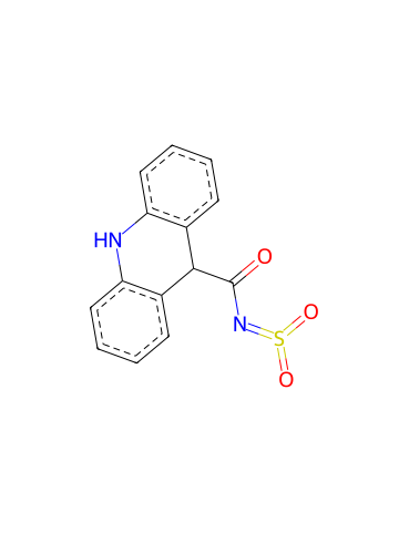 O=C(N=S(=O)=O)C1c2ccccc2Nc2ccccc21